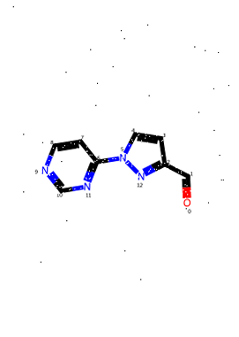 O=Cc1ccn(-c2ccncn2)n1